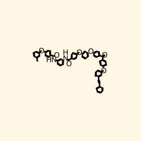 Cc1cccc(Oc2ccc(C(=O)Nc3cccc(NC(=O)c4ccc(Oc5cccc(Oc6ccc(C(=O)c7ccc(Oc8cccc(C#Cc9ccccc9)c8)cc7)cc6)c5)cc4)c3)cc2)c1